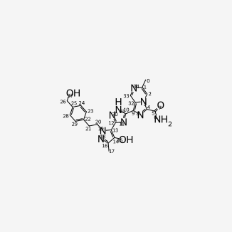 Cc1cn2c(C(N)=O)nc(-c3nc(-c4c(O)c(C)nn4CCc4ccc(CO)cc4)n[nH]3)c2cn1